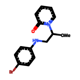 COC(CNc1ccc(Br)cc1)n1ccccc1=O